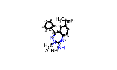 CC(=O)NNC1=Nc2ccc(C(C)C(C)C)cc2C(c2ccccc2)=NN1C